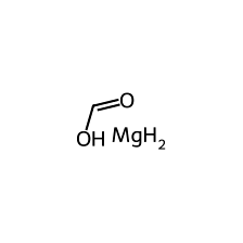 O=CO.[MgH2]